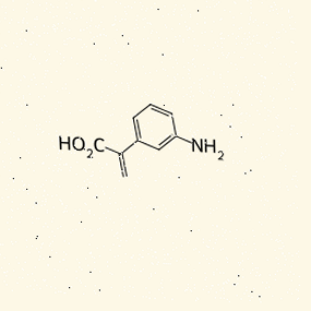 C=C(C(=O)O)c1cccc(N)c1